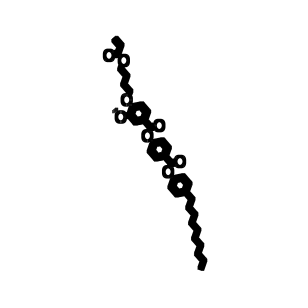 C=CC(=O)OCCCCOc1ccc(C(=O)Oc2ccc(C(=O)Oc3ccc(CCCCCCCCCC)cc3)cc2)cc1OC